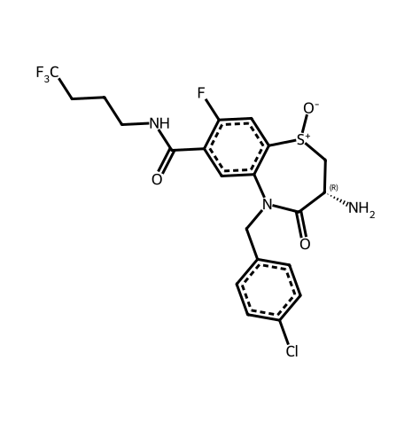 N[C@H]1C[S+]([O-])c2cc(F)c(C(=O)NCCCC(F)(F)F)cc2N(Cc2ccc(Cl)cc2)C1=O